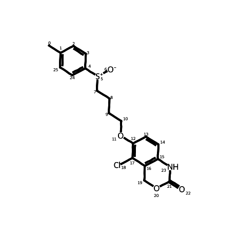 Cc1ccc([S+]([O-])CCCCOc2ccc3c(c2Cl)COC(=O)N3)cc1